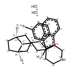 Cc1nc2ccccc2n1C1C[C@H]2CC[C@@H](C1)N2CCC1(c2cccc(F)c2)CCNCC1.Cl.Cl